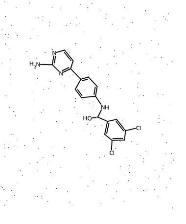 Nc1nccc(-c2ccc(NC(O)c3cc(Cl)cc(Cl)c3)cc2)n1